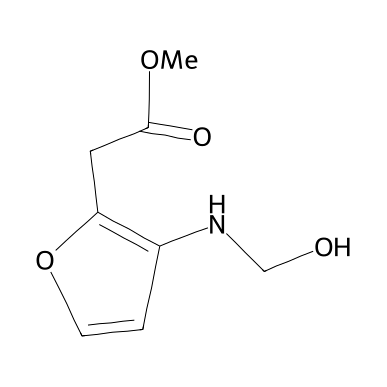 COC(=O)Cc1occc1NCO